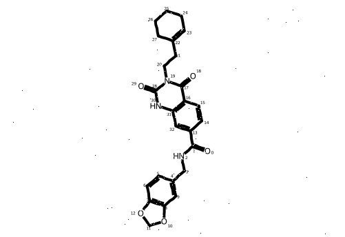 O=C(NCc1ccc2c(c1)OCO2)c1ccc2c(=O)n(CCC3=CCCCC3)c(=O)[nH]c2c1